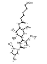 CCCCCCCCCCCCCCCC(=O)OC1[C@@H](SC)OC(C(NC(=O)[C@@H]2C[C@@H](CCC)CN2C)C(C)Cl)[C@H](O)[C@@H]1O.[Cl-].[H+]